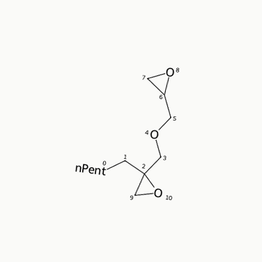 CCCCCCC1(COCC2CO2)CO1